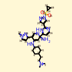 CN(C)CCC1CCC(NC2=CC(N)(c3ccnc(-c4cnn(S(=O)(=O)C5CC5)c4)n3)NC=C2c2ccn(C)n2)CC1